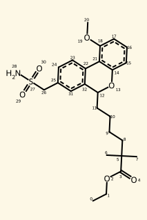 CCOC(=O)C(C)(C)CCCCC1Oc2cccc(OC)c2-c2ccc(CS(N)(=O)=O)cc21